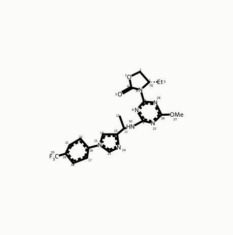 CC[C@H]1COC(=O)N1c1nc(NC(C)c2cn(-c3ccc(C(F)(F)F)cc3)cn2)nc(OC)n1